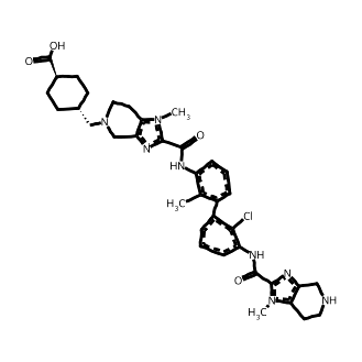 Cc1c(NC(=O)c2nc3c(n2C)CCN(C[C@H]2CC[C@H](C(=O)O)CC2)C3)cccc1-c1cccc(NC(=O)c2nc3c(n2C)CCNC3)c1Cl